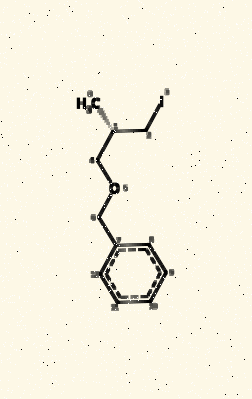 C[C@H](CI)COCc1ccccc1